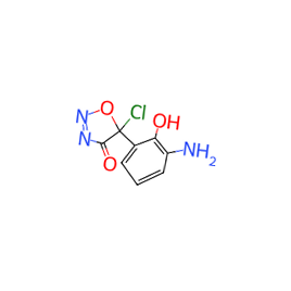 Nc1cccc(C2(Cl)ON=NC2=O)c1O